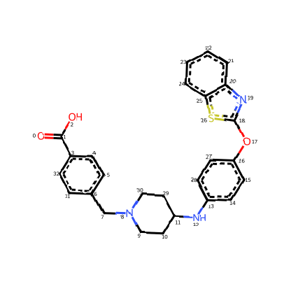 O=C(O)c1ccc(CN2CCC(Nc3ccc(Oc4nc5ccccc5s4)cc3)CC2)cc1